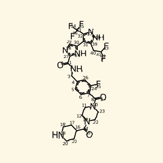 O=C(NCc1ccc(C(=O)N2CCN(C(=O)C3CCNCC3)CC2)c(F)c1)c1ncc(-c2c(C(F)(F)F)n[nH]c2CC(F)F)[nH]1